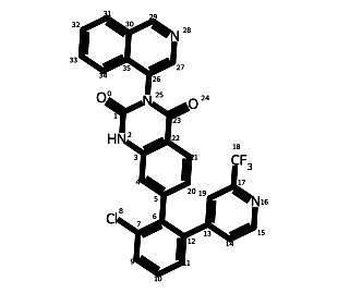 O=c1[nH]c2cc(-c3c(Cl)cccc3-c3ccnc(C(F)(F)F)c3)ccc2c(=O)n1-c1cncc2ccccc12